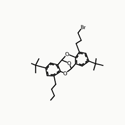 CCCCc1cc(C(C)(C)C)cc2c1OC1OC2Oc2c(CCCBr)cc(C(C)(C)C)cc21